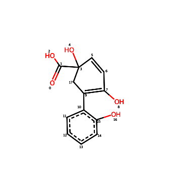 O=C(O)C1(O)C=CC(O)=C(c2ccccc2O)C1